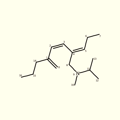 C=C(/C=C\C(=C/CC)CN(C)C(C)C)CCC